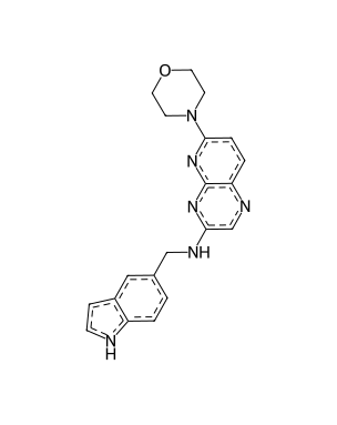 c1cc2cc(CNc3cnc4ccc(N5CCOCC5)nc4n3)ccc2[nH]1